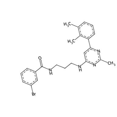 Cc1nc(NCCCNC(=O)c2cccc(Br)c2)cc(-c2cccc(C)c2C)n1